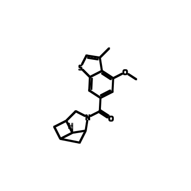 COc1cc(C(=O)N2CC3CC4CC2[C@H]43)cc2scc(C)c12